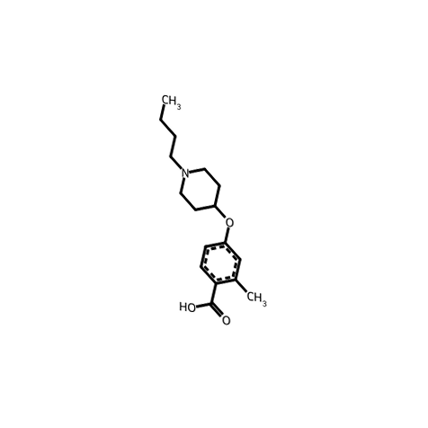 CCCCN1CCC(Oc2ccc(C(=O)O)c(C)c2)CC1